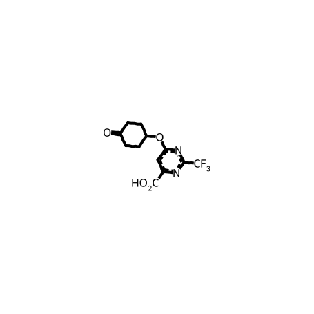 O=C1CCC(Oc2cc(C(=O)O)nc(C(F)(F)F)n2)CC1